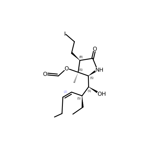 CC/C=C\[C@H](CC)[C@H](O)[C@@H]1NC(=O)[C@H](CCI)[C@]1(C)OC=O